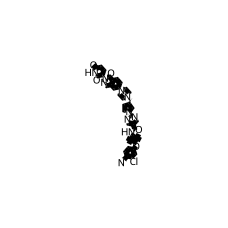 CC1(C)[C@H](NC(=O)c2cnc(N3CC[C@H](CN4CCN(c5ccc6c(=O)n(C7CCC(=O)NC7=O)ncc6c5)CC4)C3)nc2)C(C)(C)[C@H]1Oc1ccc(C#N)c(Cl)c1